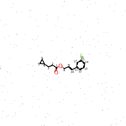 O=C(CCC1CC1)OCC=Cc1cccc(F)c1